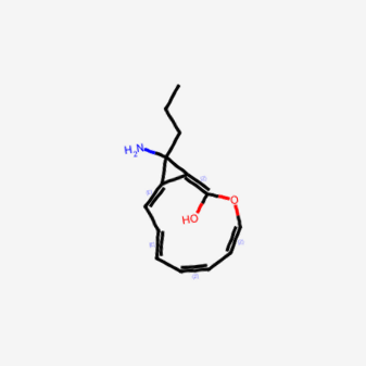 CCCC1(N)C2=C(\O)O\C=C/C=C\C=C\C=C/21